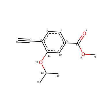 C#Cc1ccc(C(=O)OC)cc1OC(C)C